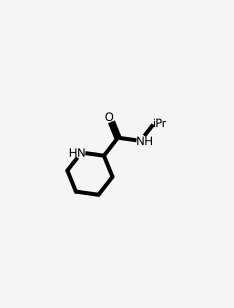 CC(C)NC(=O)C1CCCCN1